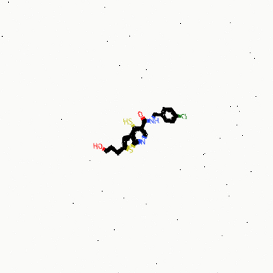 O=C(NCc1ccc(Cl)cc1)c1cnc2sc(CCCO)cc2c1S